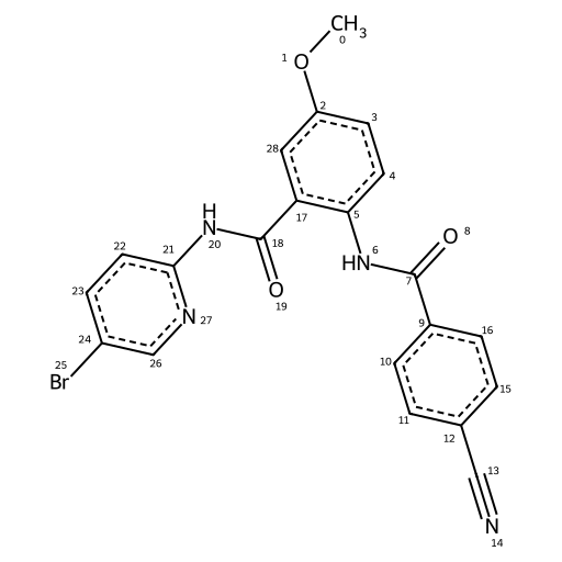 COc1ccc(NC(=O)c2ccc(C#N)cc2)c(C(=O)Nc2ccc(Br)cn2)c1